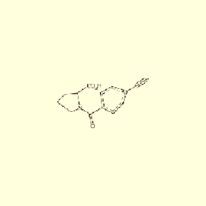 [C]#Cc1ccc(C(=O)N2CCCC2C(=O)O)cc1